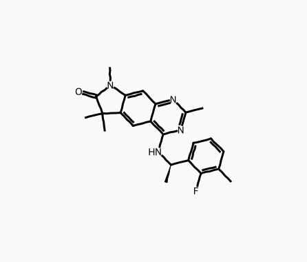 Cc1nc(N[C@H](C)c2cccc(C)c2F)c2cc3c(cc2n1)N(C)C(=O)C3(C)C